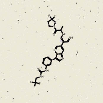 CC(N/C=C(\C=N)c1cnn2c(-c3cccc(NC(=O)NCC(F)(F)F)c3)cnc2c1)C(=O)N1CCC(F)(F)C1